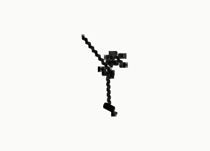 CCCCCCCCCCCCCC[C@@H](O)[C@@H](O)[C@H](COC1OC(CO)C(O)C(O)C1O)n1nnn(CCCCCCCCCCC23C4C5C2C2C3C4C52Br)c1=O